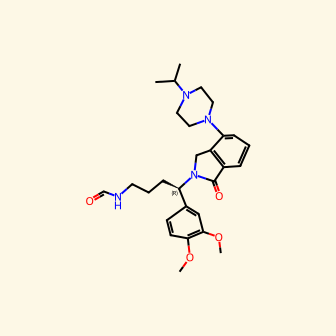 COc1ccc([C@@H](CCCNC=O)N2Cc3c(cccc3N3CCN(C(C)C)CC3)C2=O)cc1OC